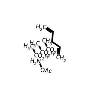 C=CCC=C.CC(=O)O.CC(=O)O.CC(=O)O.CC(=O)ON